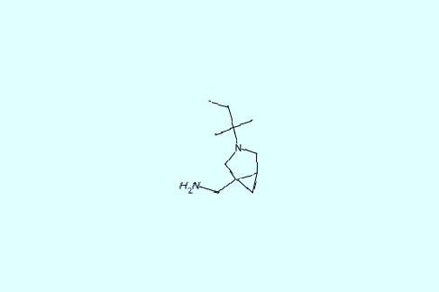 CCC(C)(C)N1CC2CC2(CN)C1